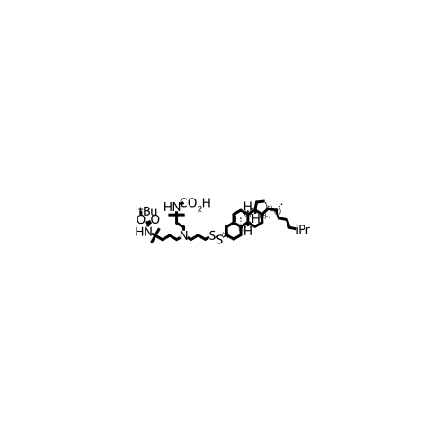 CC(C)CCC[C@@H](C)[C@H]1CC[C@H]2[C@@H]3CC=C4C[C@@H](SSCCCN(CCCC(C)(C)NC(=O)OC(C)(C)C)CCC(C)(C)NC(=O)O)CC[C@]4(C)[C@H]3CC[C@]12C